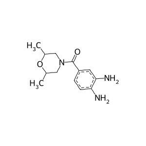 CC1CN(C(=O)c2ccc(N)c(N)c2)CC(C)O1